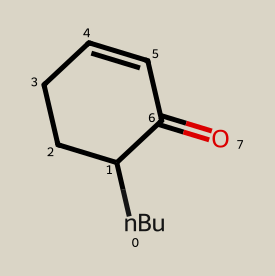 CCCCC1CCC=CC1=O